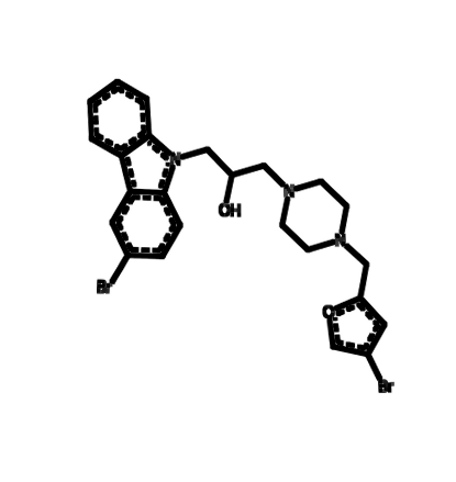 OC(CN1CCN(Cc2cc(Br)co2)CC1)Cn1c2ccccc2c2cc(Br)ccc21